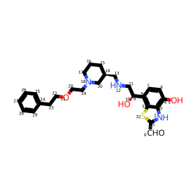 O=CC1Nc2c(O)ccc([C@@H](O)CNC[C@@H]3CCCN(CCOCCc4ccccc4)C3)c2S1